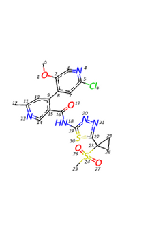 COc1cnc(Cl)cc1-c1cc(C)ncc1C(=O)Nc1nnc(C2(S(C)(=O)=O)CC2)s1